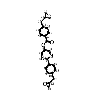 O=C(Oc1cnc(-c2ccc(CC3CO3)cc2)nc1)c1ccc(CC2CO2)cc1